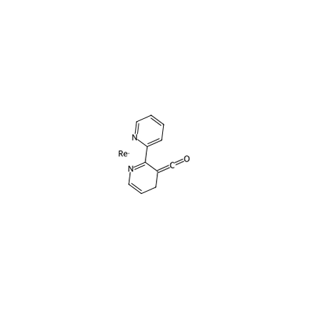 O=C=C1CC=CN=C1c1ccccn1.[Re]